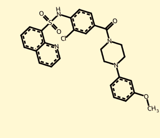 COc1cccc(N2CCN(C(=O)c3ccc(NS(=O)(=O)c4cccc5cccnc45)c(Cl)c3)CC2)c1